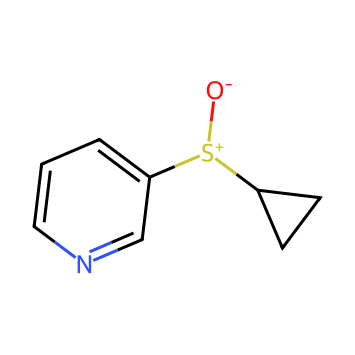 [O-][S+](c1cccnc1)C1CC1